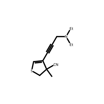 CCN(CC)CC#CC1=CSCC1(C)C#N